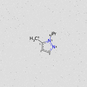 Cc1c[c]nn1C(C)C